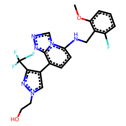 COc1cccc(F)c1CNc1ccc(-c2cn(CCO)nc2C(F)(F)F)c2nncn12